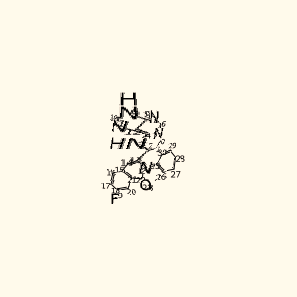 CCC(Nc1ncnc2[nH]cnc12)c1cc2ccc(F)cc2c(=O)n1-c1ccccc1